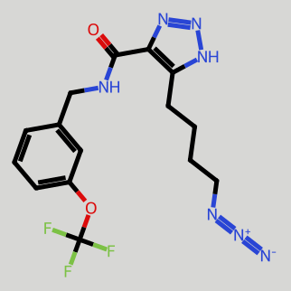 [N-]=[N+]=NCCCCc1[nH]nnc1C(=O)NCc1cccc(OC(F)(F)F)c1